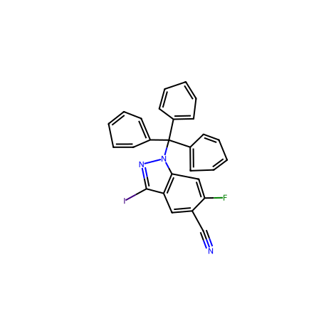 N#Cc1cc2c(I)nn(C(c3ccccc3)(c3ccccc3)c3ccccc3)c2cc1F